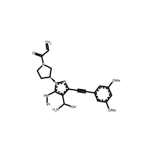 C=CC(=O)N1CC[C@H](n2nc(C#Cc3cc(OC)cc(OC)c3)c(C(N)O)c2NC(C)C)C1